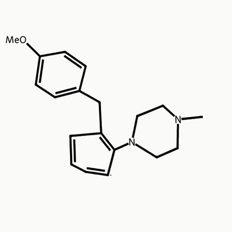 COc1ccc(Cc2ccc[c]c2N2CCN(C)CC2)cc1